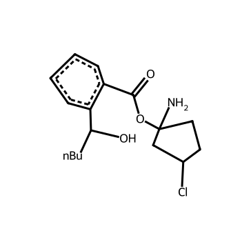 CCCCC(O)c1ccccc1C(=O)OC1(N)CCC(Cl)C1